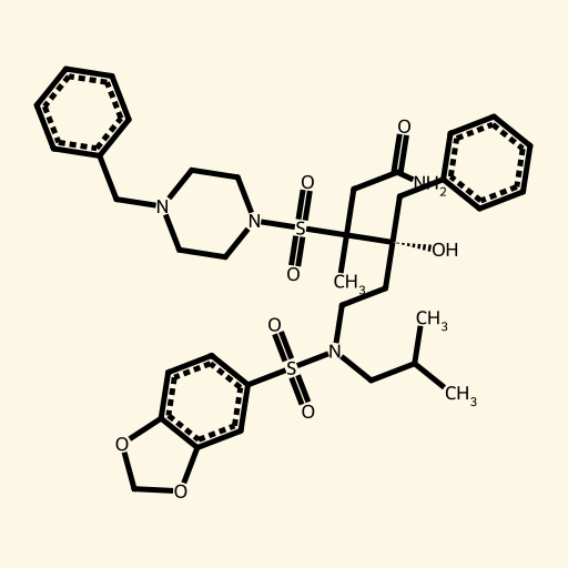 CC(C)CN(CC[C@](O)(Cc1ccccc1)C(C)(CC(N)=O)S(=O)(=O)N1CCN(Cc2ccccc2)CC1)S(=O)(=O)c1ccc2c(c1)OCO2